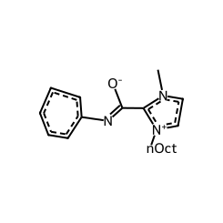 CCCCCCCC[n+]1ccn(C)c1/C([O-])=N/c1ccccc1